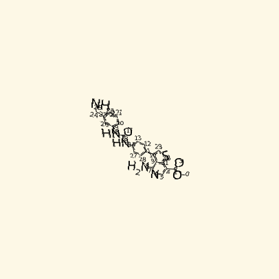 COC(=O)c1cnc(N)c2c(-c3ccc(NC(=O)Nc4cccc(CN)c4)cc3)csc12